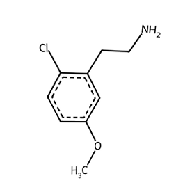 COc1ccc(Cl)c(CCN)c1